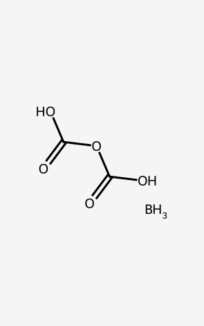 B.O=C(O)OC(=O)O